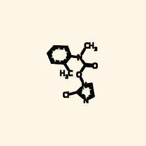 Cc1ccccc1N(C)C(=O)On1ccnc1Cl